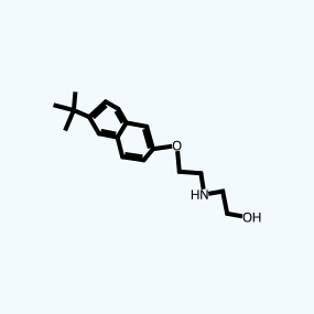 CC(C)(C)c1ccc2cc(OCCNCCO)ccc2c1